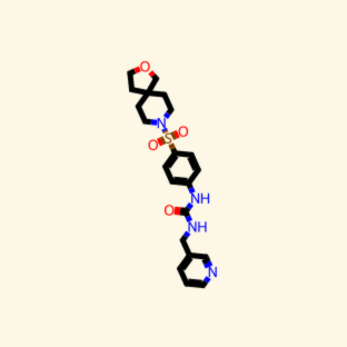 O=C(NCc1cccnc1)Nc1ccc(S(=O)(=O)N2CCC3(CCOC3)CC2)cc1